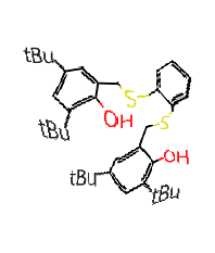 CC(C)(C)c1cc(CSc2ccccc2SCc2cc(C(C)(C)C)cc(C(C)(C)C)c2O)c(O)c(C(C)(C)C)c1